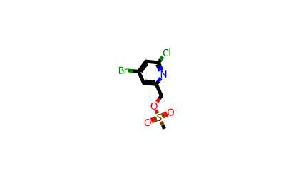 CS(=O)(=O)OCc1cc(Br)cc(Cl)n1